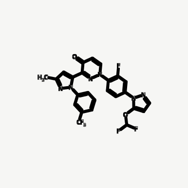 Cc1cc(-c2nn(-c3ccc(-n4nccc4OC(F)F)cc3F)ccc2=O)n(-c2cccc(C(F)(F)F)c2)n1